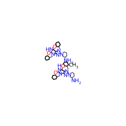 Cc1ccccc1Cn1c(N2CCCC(N)C2)nc2c1c(=O)[nH]c(=O)n2Cc1ccccc1.NC1CCCN(c2nc3c(c(=O)[nH]c(=O)n3Cc3ccccc3)n2Cc2ccccc2)C1